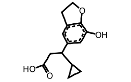 O=C(O)CC(c1cc(O)c2c(c1)CCO2)C1CC1